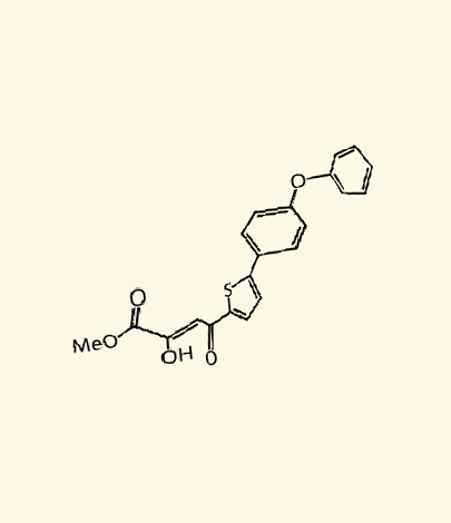 COC(=O)C(O)=CC(=O)c1ccc(-c2ccc(Oc3ccccc3)cc2)s1